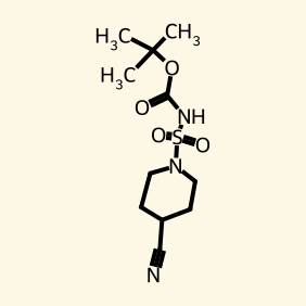 CC(C)(C)OC(=O)NS(=O)(=O)N1CCC(C#N)CC1